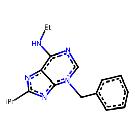 CCNc1ncn(Cc2ccccc2)c2nc(C(C)C)nc1-2